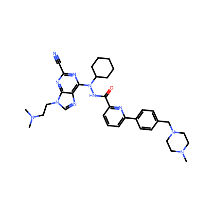 CN(C)CCn1cnc2c(N(NC(=O)c3cccc(-c4ccc(CN5CCN(C)CC5)cc4)n3)C3CCCCC3)nc(C#N)nc21